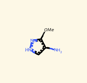 COc1n[nH]cc1N